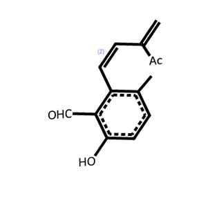 C=C(/C=C\c1c(C)ccc(O)c1C=O)C(C)=O